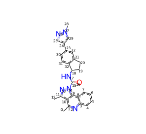 Cc1nc2ccccc2c2c1c(C)nn2C(=O)N[C@@H]1CCc2cc(-c3cnn(C)c3)ccc21